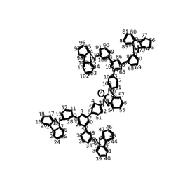 O=c1n(-c2ccc(-c3cc(-c4cccc(-n5c6ccccc6c6ccccc65)c4)cc(-c4cccc(-n5c6ccccc6c6ccccc65)c4)c3)cc2)c2ccccc2n1-c1ccc(-c2cc(-c3cccc(-n4c5ccccc5c5ccccc54)c3)cc(-c3cccc(-n4c5ccccc5c5ccccc54)c3)c2)cc1